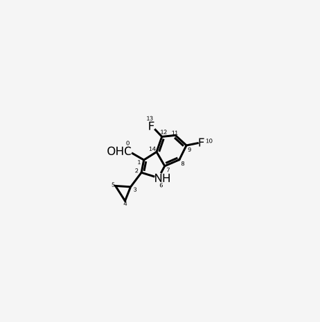 O=Cc1c(C2CC2)[nH]c2cc(F)cc(F)c12